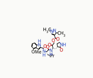 COc1cccc2[nH]c(C(=O)N[C@@H](CC(C)C)C(=O)N[C@@H](C[C@@H]3CCNC3=O)C(=O)COC(=O)c3cn(C)nc3C)cc12